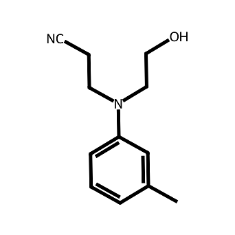 Cc1cccc(N(CCO)CCC#N)c1